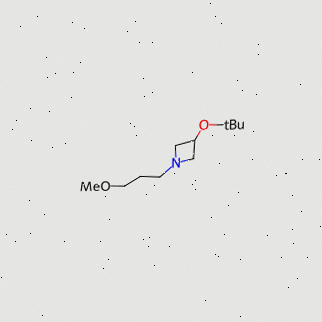 COCCCN1CC(OC(C)(C)C)C1